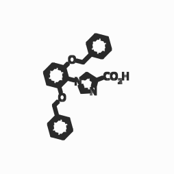 O=C(O)c1cn(-c2c(OCc3ccccc3)cccc2OCc2ccccc2)cn1